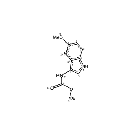 COc1ccc2[nH]cc(NC(=O)OC(C)(C)C)c2n1